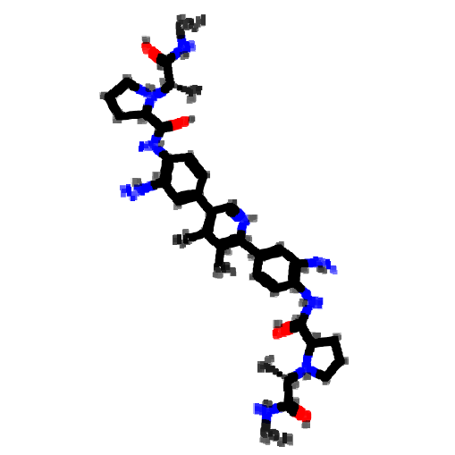 Cc1c(-c2ccc(NC(=O)C3CCCN3[C@H](C(=O)NC(=O)O)C(C)C)c(N)c2)cnc(-c2ccc(NC(=O)C3CCCN3[C@H](C(=O)NC(=O)O)C(C)C)c(N)c2)c1C